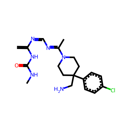 C=C(/N=C\N=C(/C)N1CCC(CN)(c2ccc(Cl)cc2)CC1)NC(=O)NC